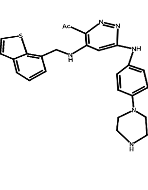 CC(=O)c1nnc(Nc2ccc(N3CCNCC3)cc2)cc1NCc1cccc2ccsc12